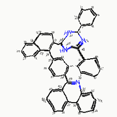 c1ccc(C2=NC(c3ccccc3)NC(c3ccc4ccccc4c3-c3ccc(-c4nc5ccccc5c5ccccc45)cc3)N2)cc1